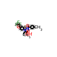 CCC(C(=O)O)n1/c(=N/C(=O)c2ccc(C)cc2)sc2cc(OC(F)(F)F)ccc21